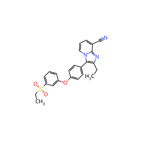 CCc1nc2c(C#N)cccn2c1-c1ccc(Oc2cccc(S(=O)(=O)CC)c2)cc1